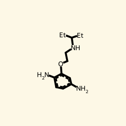 CCC(CC)NCCOc1cc(N)ccc1N